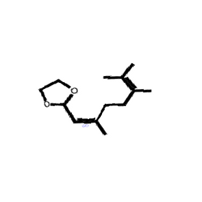 CC(C)=C(C)CC/C(C)=C\C1OCCO1